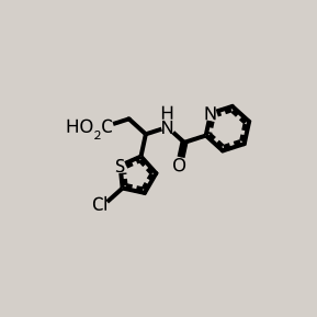 O=C(O)CC(NC(=O)c1ccccn1)c1ccc(Cl)s1